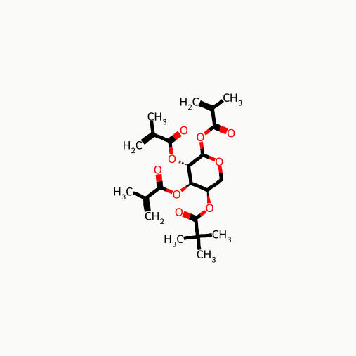 C=C(C)C(=O)OC1OC[C@@H](OC(=O)C(C)(C)C)[C@@H](OC(=O)C(=C)C)[C@@H]1OC(=O)C(=C)C